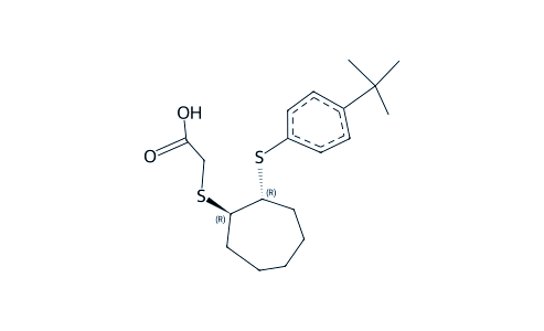 CC(C)(C)c1ccc(S[C@@H]2CCCCC[C@H]2SCC(=O)O)cc1